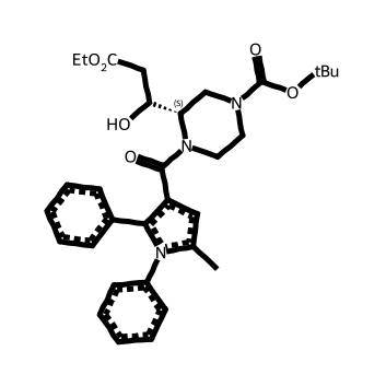 CCOC(=O)CC(O)[C@@H]1CN(C(=O)OC(C)(C)C)CCN1C(=O)c1cc(C)n(-c2ccccc2)c1-c1ccccc1